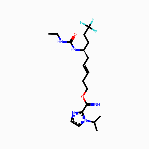 CCNC(=O)N[C@H](C/C=C/CCOC(=N)c1nccn1C(C)C)CCC(F)(F)F